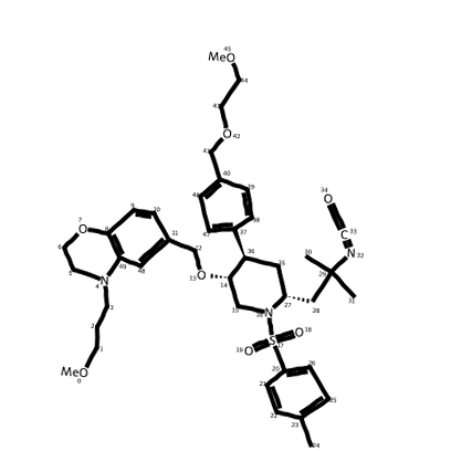 COCCCN1CCOc2ccc(CO[C@H]3CN(S(=O)(=O)c4ccc(C)cc4)[C@@H](CC(C)(C)N=C=O)C[C@@H]3c3ccc(COCCOC)cc3)cc21